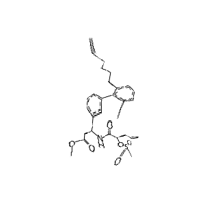 C=CCCCCc1cccc(C)c1-c1cccc([C@H](CC(=O)OC)NC(=O)[C@@H](CC=C)OS(C)(=O)=O)c1